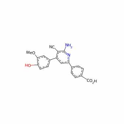 COc1cc(-c2cc(-c3ccc(C(=O)O)cc3)nc(N)c2C#N)ccc1O